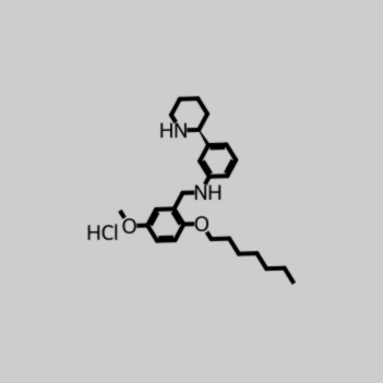 CCCCCCCOc1ccc(OC)cc1CNc1cccc([C@@H]2CCCCN2)c1.Cl